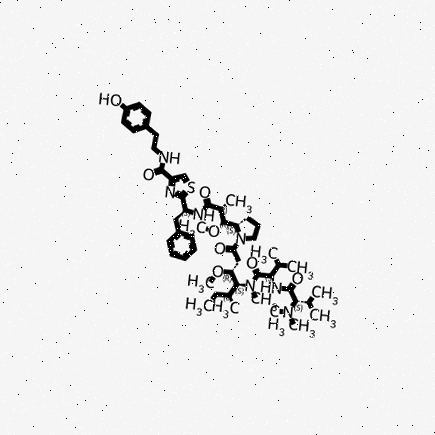 CC[C@H](C)[C@@H]([C@@H](CC(=O)N1CCC[C@H]1[C@H](OC)[C@@H](C)C(=O)N[C@@H](Cc1ccccc1)c1nc(C(=O)NCCc2ccc(O)cc2)cs1)OC)N(C)C(=O)[C@@H](NC(=O)[C@H](C(C)C)N(C)C)C(C)C